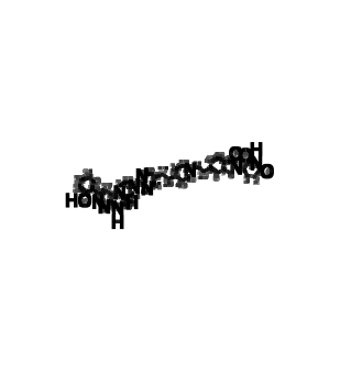 O=C1CCC(N2Cc3cc(CCN4CCC(CCc5cnc(N6CCN7c8cc(-c9ccccc9O)nnc8NC[C@@H]7C6)nc5)CC4)ccc3C2=O)C(=O)N1